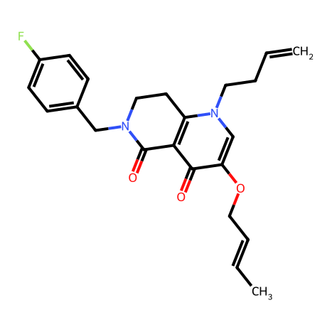 C=CCCn1cc(OCC=CC)c(=O)c2c1CCN(Cc1ccc(F)cc1)C2=O